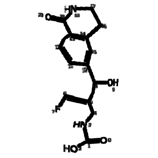 O=C(O)NCC(=CF)C(O)c1ccc2c(c1)CCNC2=O